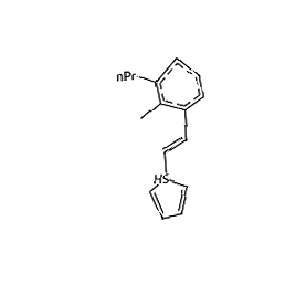 CCCc1cccc(C=C[SH]2C=CC=C2)c1C